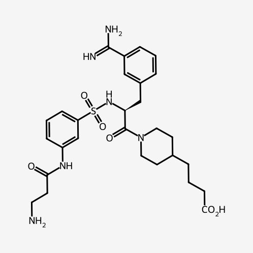 N=C(N)c1cccc(C[C@H](NS(=O)(=O)c2cccc(NC(=O)CCN)c2)C(=O)N2CCC(CCCC(=O)O)CC2)c1